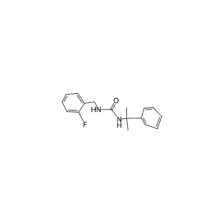 CC(C)(NC(=O)NCc1ccccc1F)c1ccccc1